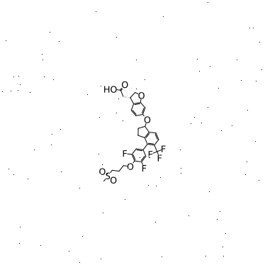 CS(=O)(=O)CCCOc1c(F)cc(-c2c(C(F)(F)F)ccc3c2CCC3Oc2ccc3c(c2)OC[C@H]3CC(=O)O)cc1F